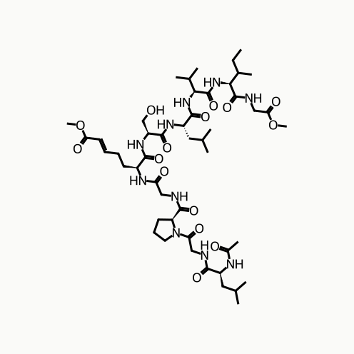 CCC(C)[C@H](NC(=O)[C@@H](NC(=O)[C@H](CC(C)C)NC(=O)[C@H](CO)NC(=O)[C@H](CC/C=C/C(=O)OC)NC(=O)CNC(=O)[C@@H]1CCCN1C(=O)CNC(=O)[C@H](CC(C)C)NC(C)=O)C(C)C)C(=O)NCC(=O)OC